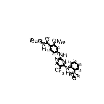 COc1cc(Nc2ncc(C(F)(F)F)c(Nc3ccccc3P(C)(C)=O)n2)ccc1C(=O)NOCC(C)C